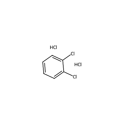 Cl.Cl.Clc1ccccc1Cl